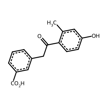 Cc1cc(O)ccc1C(=O)Cc1cccc(C(=O)O)c1